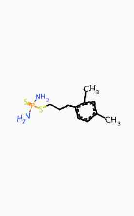 Cc1ccc(CCCSP(N)(N)=S)c(C)c1